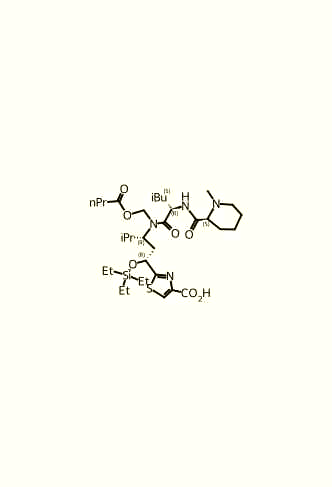 CCCC(=O)OCN(C(=O)[C@H](NC(=O)[C@@H]1CCCCN1C)[C@@H](C)CC)[C@H](C[C@@H](O[Si](CC)(CC)CC)c1nc(C(=O)O)cs1)C(C)C